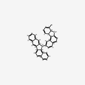 CC1=CC=CC2c3c(ccc4ccc(-n5c6cc7ccccc7cc6c6ccc7ccccc7c65)cc34)OC12